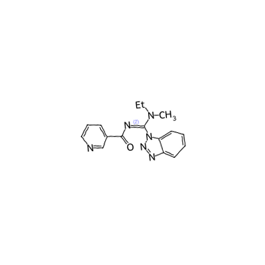 CCN(C)/C(=N/C(=O)c1cccnc1)n1nnc2ccccc21